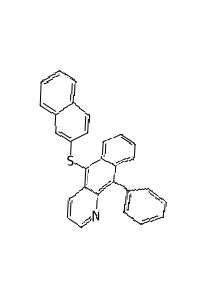 c1ccc(-c2c3ccccc3c(Sc3ccc4ccccc4c3)c3cccnc23)cc1